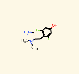 CN(C)[C@H](CN)Cc1c(F)cc(O)cc1F